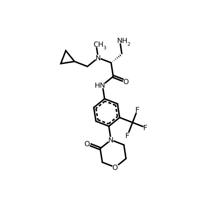 CN(CC1CC1)[C@H](CN)C(=O)Nc1ccc(N2CCOCC2=O)c(C(F)(F)F)c1